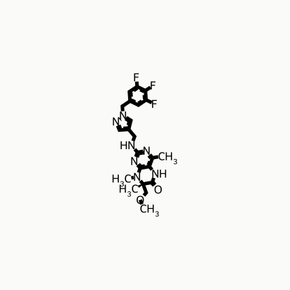 COC[C@@]1(C)C(=O)Nc2c(C)nc(NCc3cnn(Cc4cc(F)c(F)c(F)c4)c3)nc2N1C